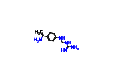 C=C(N)c1ccc(NCNC(=N)N)cc1